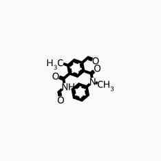 Cc1cc(C=O)c(C(=O)N(C)c2ccccc2)cc1C(=O)NC=O